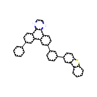 c1ccc(-c2ccc3c(c2)c2cc(-c4cccc(-c5ccc6sc7ccccc7c6c5)c4)ccc2c2nccnc32)cc1